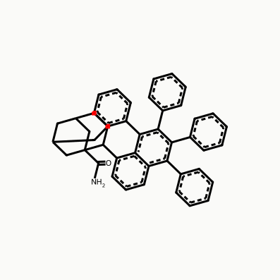 NC(=O)C12CC3CC(CC(C3)C1c1cccc3c(-c4ccccc4)c(-c4ccccc4)c(-c4ccccc4)c(-c4ccccc4)c13)C2